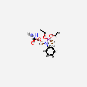 CCOP(=S)(OCC)N(SOC(=O)NC)c1ccccc1